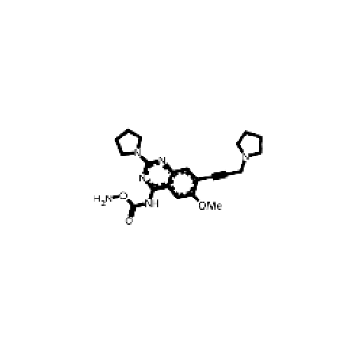 COc1cc2c(NC(=O)ON)nc(N3CCCC3)nc2cc1C#CCN1CCCC1